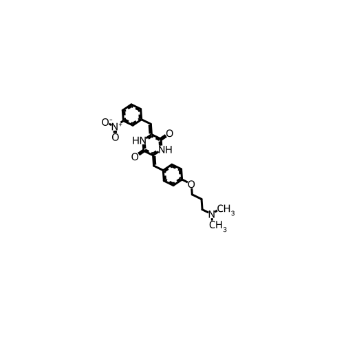 CN(C)CCCOc1ccc(C=c2[nH]c(=O)c(=Cc3cccc([N+](=O)[O-])c3)[nH]c2=O)cc1